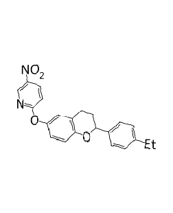 CCc1ccc(C2CCc3cc(Oc4ccc([N+](=O)[O-])cn4)ccc3O2)cc1